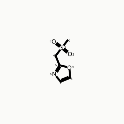 CS(=O)(=O)Cc1ncco1